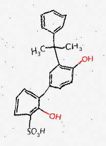 CC(C)(c1ccccc1)c1cc(-c2cccc(S(=O)(=O)O)c2O)ccc1O